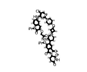 CNC(=O)COc1cc2cc(Nc3nc(N4CCC(OC5CC(N6CCC(c7cc8c(cc7OC(C)C)C(=O)N(C7CCC(=O)NC7=O)C8=O)CC6)C5)CC4)ncc3Cl)ccc2n(C(C)C)c1=O